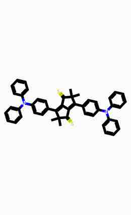 CC1(C)C(=S)C2=C(c3ccc(N(c4ccccc4)c4ccccc4)cc3)C(C)(C)C(=S)C2=C1c1ccc(N(c2ccccc2)c2ccccc2)cc1